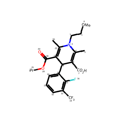 COCCN1C(C)=C(C(=O)O)C(c2cccc(C(F)(F)F)c2F)C(C(=O)OC(C)C)=C1C